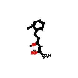 Cc1ccccc1CCC(=O)/C=C(\O)C(=O)O